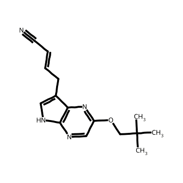 CC(C)(C)COc1cnc2[nH]cc(C/C=C/C#N)c2n1